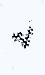 CCC(C)C(C(CC(=O)N1CCCC1C(OC)C(C)C)OC)N(C)C(=O)CNC(=O)CN(C)C